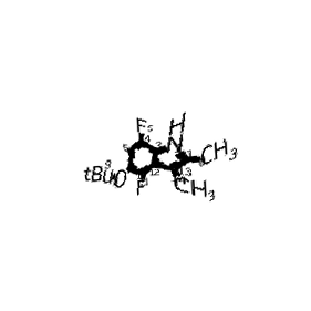 Cc1[nH]c2c(F)cc(OC(C)(C)C)c(F)c2c1C